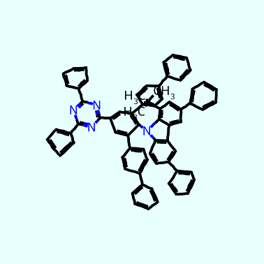 CC(C)(C)c1cc(-c2ccccc2)cc2c3cc(-c4ccccc4)ccc3n(-c3c(-c4ccc(-c5ccccc5)cc4)cc(-c4nc(-c5ccccc5)nc(-c5ccccc5)n4)cc3-c3ccc(-c4ccccc4)cc3)c12